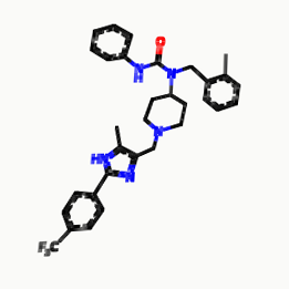 Cc1ccccc1CN(C(=O)Nc1ccccc1)C1CCN(Cc2nc(-c3ccc(C(F)(F)F)cc3)[nH]c2C)CC1